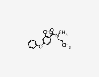 CCCN(C)C(=O)c1ccc(Oc2ccccc2)cc1C